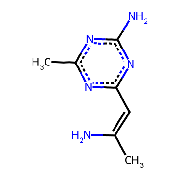 CC(N)=Cc1nc(C)nc(N)n1